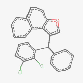 Clc1cccc(C(c2ccccc2)c2coc3ccc4ccccc4c23)c1Cl